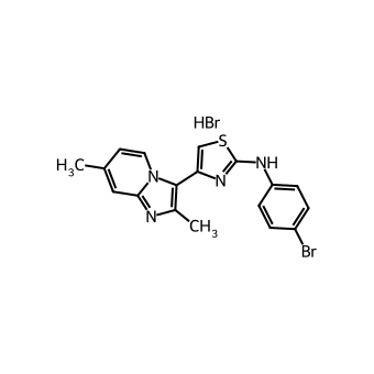 Br.Cc1ccn2c(-c3csc(Nc4ccc(Br)cc4)n3)c(C)nc2c1